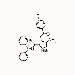 Br.CC(C)(C)C(O[SiH](c1ccccc1)c1ccccc1)C1CCC(N)N1CC(=O)c1ccc(F)cc1